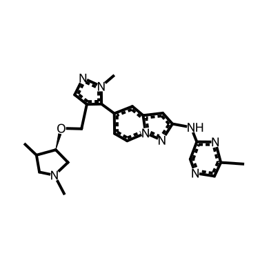 Cc1cncc(Nc2cc3cc(-c4c(CO[C@H]5CN(C)CC5C)cnn4C)ccn3n2)n1